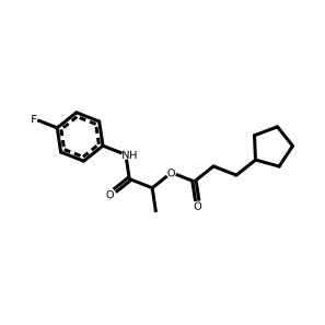 CC(OC(=O)CCC1CCCC1)C(=O)Nc1ccc(F)cc1